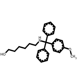 COc1ccc(C(NCCCCCCO)(c2ccccc2)c2ccccc2)cc1